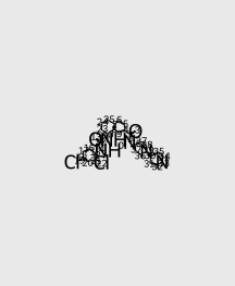 CN(C(=O)c1ccc2c(c1)C(NC(=O)Nc1ccc(Cl)cc1Cl)CCC2)C1CCN(c2ccncc2)CC1